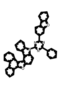 c1ccc(-c2nc(-c3ccc4c(c3)oc3ccccc34)nc(-n3c4ccccc4c4c5c(ccc43)oc3c4ccccc4c4ccccc4c35)n2)cc1